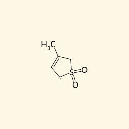 CC1=C[C]S(=O)(=O)C1